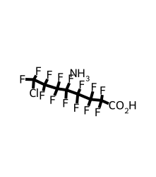 N.O=C(O)C(F)(F)C(F)(F)C(F)(F)C(F)(F)C(F)(F)C(F)(F)C(F)(F)Cl